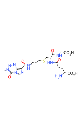 Cn1nnc2c(C(=O)NCCCSC[C@H](NC(=O)CCC(N)C(=O)O)C(=O)NCC(=O)O)ncn2c1=O